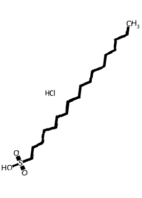 CCCCCCCCCCCCCCCCCCS(=O)(=O)O.Cl